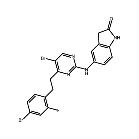 O=C1Cc2cc(Nc3ncc(Br)c(CCc4ccc(Br)cc4F)n3)ccc2N1